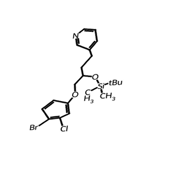 CC(C)(C)[Si](C)(C)OC(CCc1cccnc1)COc1ccc(Br)c(Cl)c1